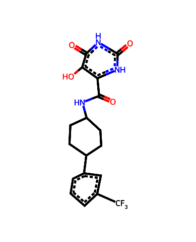 O=C(NC1CCC(c2cccc(C(F)(F)F)c2)CC1)c1[nH]c(=O)[nH]c(=O)c1O